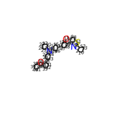 c1ccc(-c2nc3c(ccc4oc5cc(-c6ccc(N(c7ccccc7)c7ccc(-c8cccc9c8oc8ccccc89)cc7)cc6)ccc5c43)s2)cc1